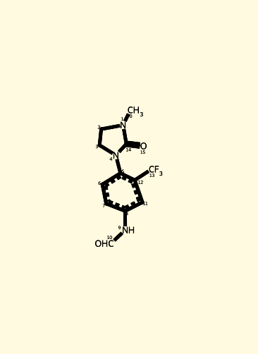 CN1CCN(c2ccc(NC=O)cc2C(F)(F)F)C1=O